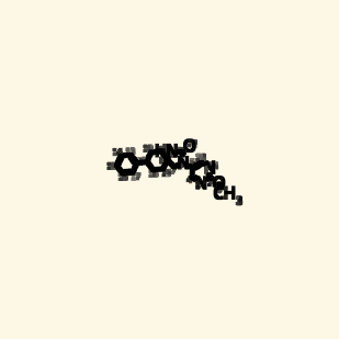 COc1ncc(N2CC3(CCC(c4ccccc4)CC3)NC2=O)cn1